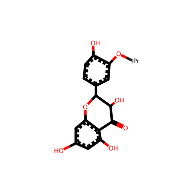 CC(C)Oc1cc(C2Oc3cc(O)cc(O)c3C(=O)C2O)ccc1O